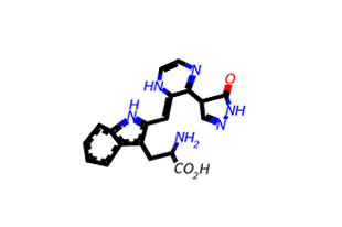 NC(Cc1c(C=C2NC=CN=C2C2C=NNC2=O)[nH]c2ccccc12)C(=O)O